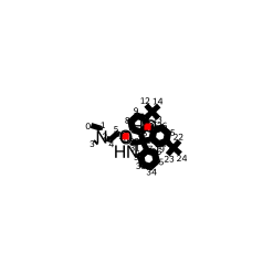 CCN(C)CCOc1ccc(C(C)(C)C)cc1C1(c2cc(C(C)(C)C)ccc2O)C(=O)Nc2ccccc21